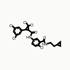 O=C(NCCC1CC1)c1cc(NC(=O)C2C(c3cc(Cl)cc(Cl)c3)C2(Cl)Cl)ccc1Cl